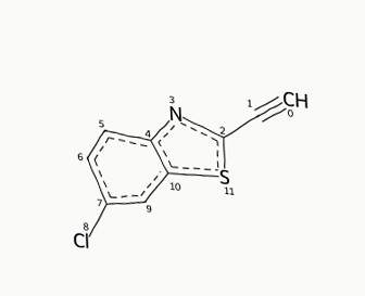 C#Cc1nc2ccc(Cl)cc2s1